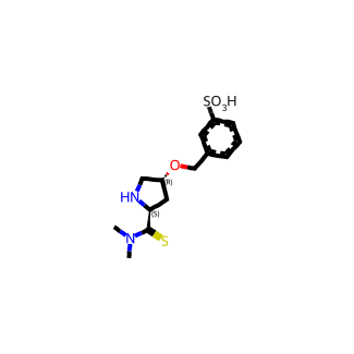 CN(C)C(=S)[C@@H]1C[C@@H](OCc2cccc(S(=O)(=O)O)c2)CN1